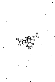 CC(C)CCC(=O)[C@@H]1CC=CC[C@@H]1C(=O)OCC(C)C